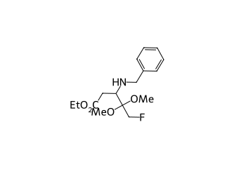 CCOC(=O)CC(NCc1ccccc1)C(CF)(OC)OC